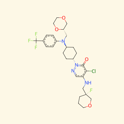 O=c1c(Cl)c(NC[C@]2(F)CCCOC2)cnn1[C@H]1CC[C@H](N(C[C@H]2COCCO2)c2ccc(C(F)(F)F)cc2)CC1